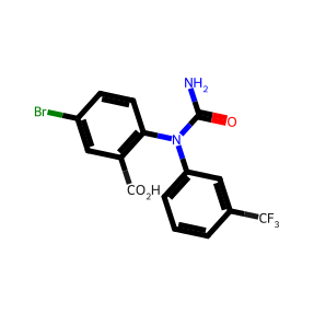 NC(=O)N(c1cccc(C(F)(F)F)c1)c1ccc(Br)cc1C(=O)O